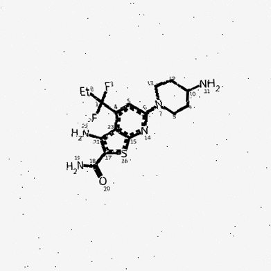 CCC(F)(F)c1cc(N2CCC(N)CC2)nc2sc(C(N)=O)c(N)c12